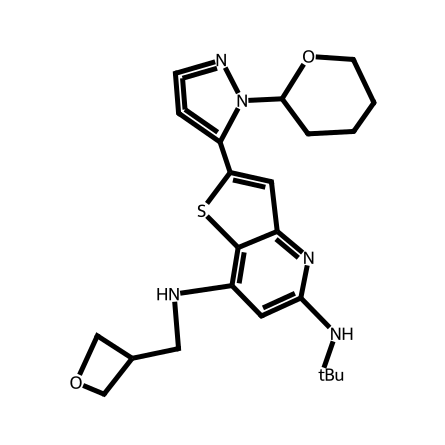 CC(C)(C)Nc1cc(NCC2COC2)c2sc(C3=C=C=NN3C3CCCCO3)cc2n1